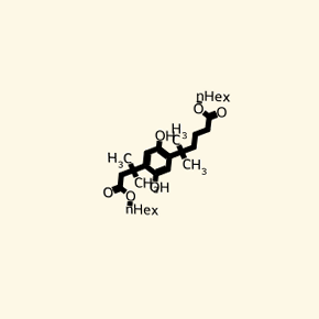 CCCCCCOC(=O)CCCC(C)(C)c1cc(O)c(C(C)(C)CC(=O)OCCCCCC)cc1O